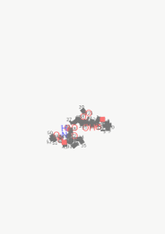 CCC(O[Si](C)(C)C(C)(C)C)C(C)(C)[C@@H](O)[C@@](C)(OC(C)=O)/C(C)=C(\C)[C@H](C)OC(=O)C(O[Si](CC)(CC)CC)[C@H](CC(C)C)NC(=O)OC(C)(C)C